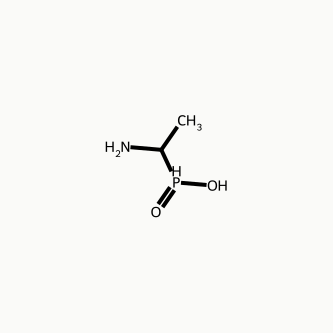 CC(N)[PH](=O)O